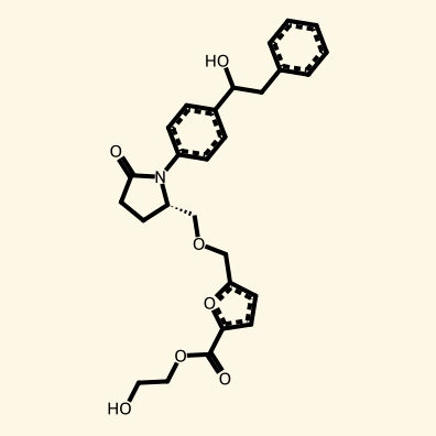 O=C(OCCO)c1ccc(COC[C@@H]2CCC(=O)N2c2ccc(C(O)Cc3ccccc3)cc2)o1